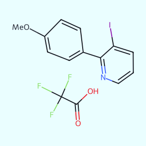 COc1ccc(-c2ncccc2I)cc1.O=C(O)C(F)(F)F